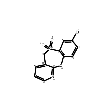 CCc1ccc2c(c1)S(=O)(=O)Cc1cccnc1O2